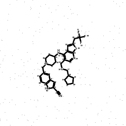 N#Cc1cc2cc(CN3CCC(Nc4c(COCC5CCCC5)cnc5sc(CC(F)(F)F)cc45)CC3)ccc2[nH]1